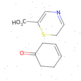 O=C(O)C1=CN=CCS1.O=C1CC=CCC1